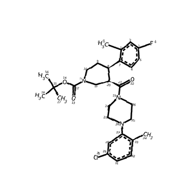 Cc1cc(F)ccc1[C@@H]1CCN(C(=O)OC(C)(C)C)C[C@@H]1C(=O)N1CCN(c2cc(Cl)ccc2C)CC1